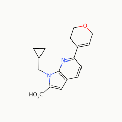 O=C(O)c1cc2ccc(C3=CCOCC3)nc2n1CC1CC1